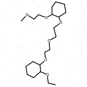 CCOC1CCCCC1OCCOCCOC1CCCCC1OCCOC